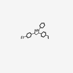 C=Cc1ccc(C2CC(c3ccc(CC)cc3)=NN2c2ccccc2)cc1